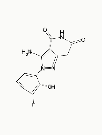 Nc1c2c(nn1-c1cccc(F)c1O)CC(=O)NC2=O